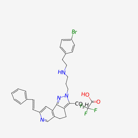 O=C(O)C(F)(F)F.O=C(O)c1c2c(nn1CCCNCCc1ccc(Br)cc1)-c1cc(C=Cc3ccccc3)ncc1CC2